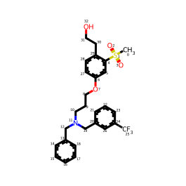 CS(=O)(=O)c1cc(OCCCN(Cc2ccccc2)Cc2cccc(C(F)(F)F)c2)ccc1CCO